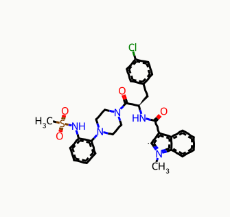 Cn1[c]c(C(=O)N[C@H](Cc2ccc(Cl)cc2)C(=O)N2CCN(c3ccccc3NS(C)(=O)=O)CC2)c2ccccc21